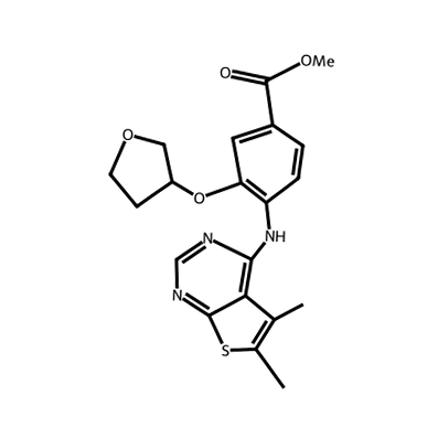 COC(=O)c1ccc(Nc2ncnc3sc(C)c(C)c23)c(OC2CCOC2)c1